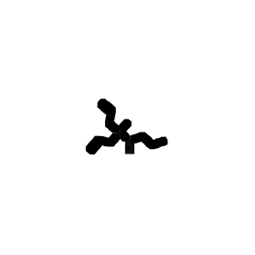 C=CCS(C)(CC=C)NCCC